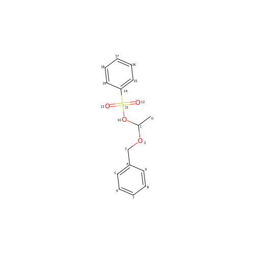 CC(OCc1ccccc1)OS(=O)(=O)c1ccccc1